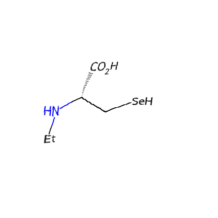 CCN[C@@H](C[SeH])C(=O)O